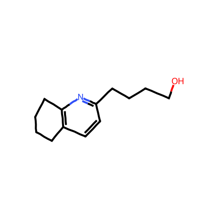 OCCCCc1ccc2c(n1)CCCC2